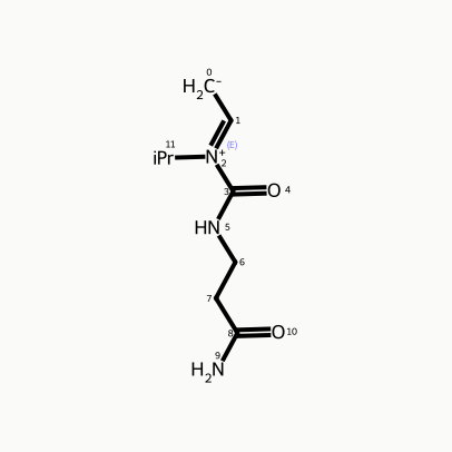 [CH2-]/C=[N+](/C(=O)NCCC(N)=O)C(C)C